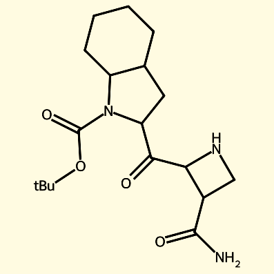 CC(C)(C)OC(=O)N1C(C(=O)C2NCC2C(N)=O)CC2CCCCC21